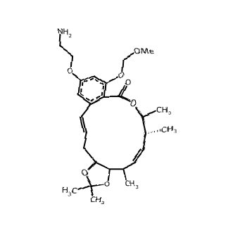 COCOc1cc(OCCN)cc2c1C(=O)OC(C)[C@H](C)/C=C\C(C)C1OC(C)(C)OC1C/C=C/2